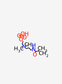 C=C(C)C(=O)NCCC[N+](C)(C)CCOP(=O)([O-])O